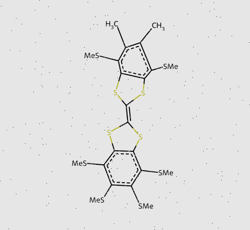 CSc1c(C)c(C)c(SC)c2c1SC(=C1Sc3c(SC)c(SC)c(SC)c(SC)c3S1)S2